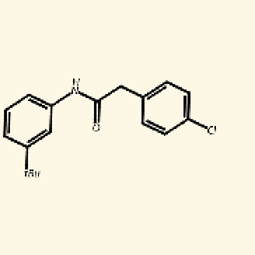 CC(C)(C)c1cccc(NC(=O)Cc2ccc(Cl)cc2)c1